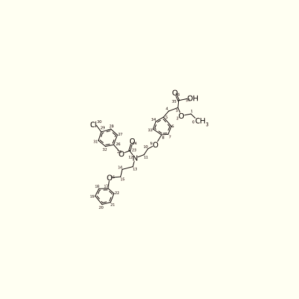 CCOC(Cc1ccc(OCCN(CCCOc2ccccc2)C(=O)Oc2ccc(Cl)cc2)cc1)C(=O)O